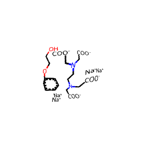 O=C([O-])CN(CCN(CC(=O)[O-])CC(=O)[O-])CC(=O)[O-].OCCOc1ccccc1.[Na+].[Na+].[Na+].[Na+]